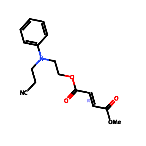 COC(=O)/C=C/C(=O)OCCN(CCC#N)c1ccccc1